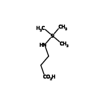 C[Si](C)(C)NCCC(=O)O